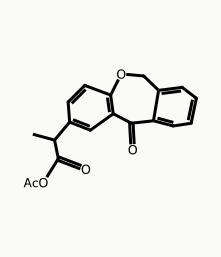 CC(=O)OC(=O)C(C)c1ccc2c(c1)C(=O)c1ccccc1CO2